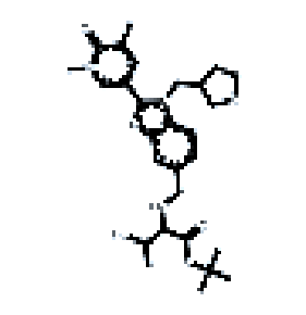 Cc1cc(-c2nc3cc(CNC(C(=O)OC(C)(C)C)C(C)O)ccc3n2CC2CCOC2)cn(C)c1=O